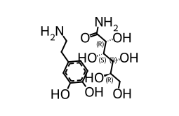 NC(=O)[C@H](O)[C@@H](O)[C@H](O)[C@H](O)CO.NCCc1ccc(O)c(O)c1